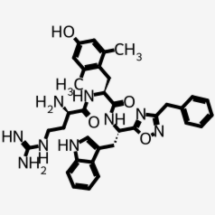 Cc1cc(O)cc(C)c1C[C@H](NC(=O)[C@H](N)CCNC(=N)N)C(=O)N[C@@H](Cc1c[nH]c2ccccc12)c1nc(Cc2ccccc2)no1